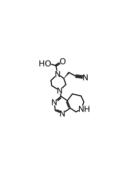 N#CC[C@H]1CN(c2ncnc3c2CCCNC3)CCN1C(=O)O